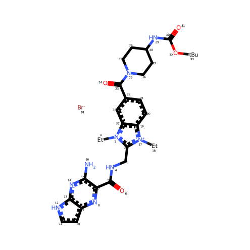 CCn1c(CNC(=O)c2nc3cc[nH]c3nc2N)[n+](CC)c2ccc(C(=O)N3CCC(NC(=O)OC(C)(C)C)CC3)cc21.[Br-]